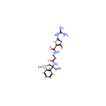 CCOC(=O)CC(CC(C)=O)(NC(=O)CCNC(=O)c1sc(NC(=N)N)nc1C)c1ccccc1